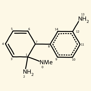 CNC1(N)C=CC=CC1c1cccc(N)c1